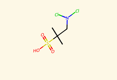 CC(C)(CN(Cl)Cl)S(=O)(=O)O